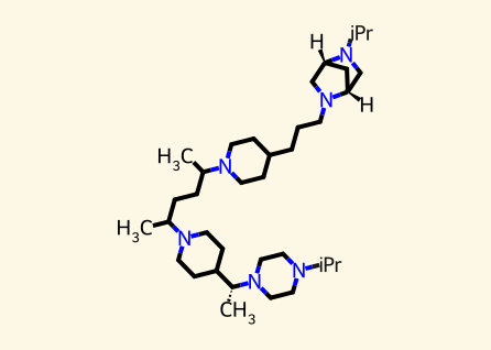 CC(C)N1CCN([C@H](C)C2CCN(C(C)CCC(C)N3CCC(CCCN4C[C@H]5C[C@@H]4CN5C(C)C)CC3)CC2)CC1